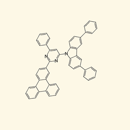 c1ccc(-c2ccc3c(c2)c2cc(-c4ccccc4)ccc2n3-c2cc(-c3ccccc3)nc(-c3ccc4c5ccccc5c5ccccc5c4c3)n2)cc1